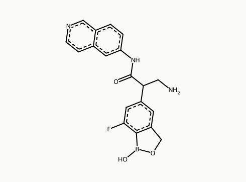 NCC(C(=O)Nc1ccc2cnccc2c1)c1cc(F)c2c(c1)COB2O